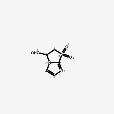 O=CC1CS(=O)(=O)c2nccn21